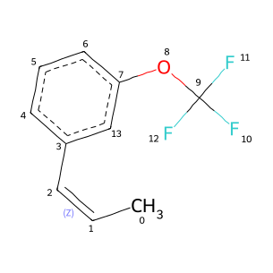 C/C=C\c1cccc(OC(F)(F)F)c1